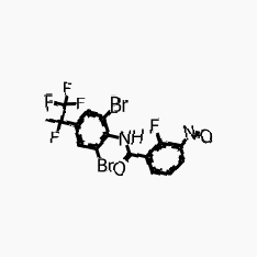 CC(F)(c1cc(Br)c(NC(=O)c2cccc(N=O)c2F)c(Br)c1)C(F)(F)F